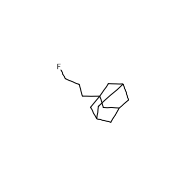 FCCCC12CC3CC(CC(C3)C1)C2